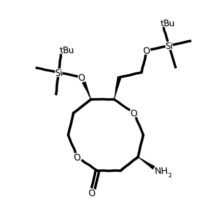 CC(C)(C)[Si](C)(C)OCC[C@H]1OC[C@@H](N)CC(=O)OCC[C@H]1O[Si](C)(C)C(C)(C)C